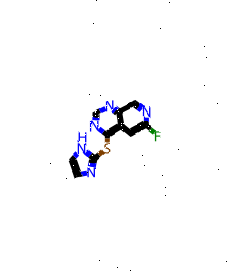 Fc1cc2c(Sc3ncc[nH]3)ncnc2cn1